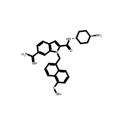 CC(C)(C)Sc1cccc2c(Cn3c(C(=O)N[C@H]4CC[C@H](N)CC4)cc4ccc(C(=N)N)cc43)cccc12